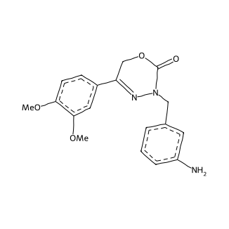 COc1ccc(C2=NN(Cc3cccc(N)c3)C(=O)OC2)cc1OC